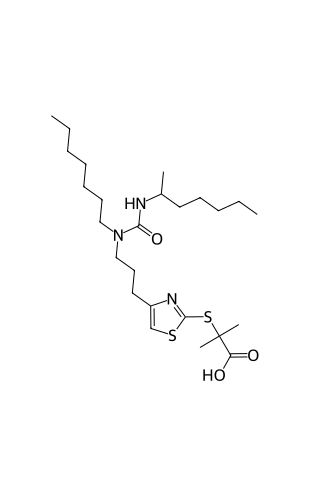 CCCCCCCN(CCCc1csc(SC(C)(C)C(=O)O)n1)C(=O)NC(C)CCCCC